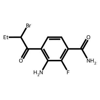 CCC(Br)C(=O)c1ccc(C(N)=O)c(F)c1N